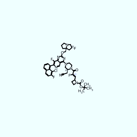 CC(C)(C)OC(=O)N1CCC1/C=C(\F)C(=O)N1CCN(c2nc(OC[C@@]34CCCN3C[C@H](F)C4)nc3c(F)c(-c4cccc5ccc(F)c(Cl)c45)ncc23)C[C@@H]1CC#N